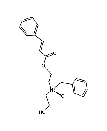 O=C(/C=C/c1ccccc1)OCC[N@@+]([O-])(CCO)Cc1ccccc1